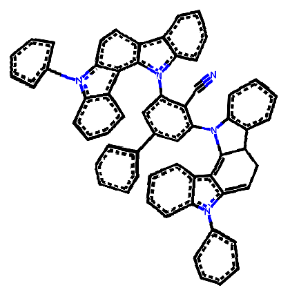 N#Cc1c(N2C3=c4c(n(-c5ccccc5)c5ccccc45)=CCC3c3ccccc32)cc(-c2ccccc2)cc1-n1c2ccccc2c2ccc3c(c4ccccc4n3-c3ccccc3)c21